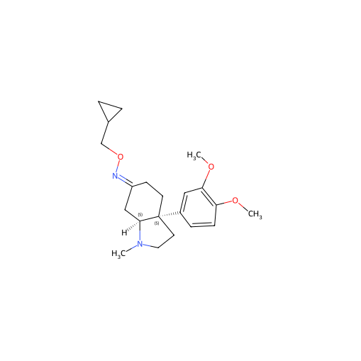 COc1ccc([C@@]23CCC(=NOCC4CC4)C[C@@H]2N(C)CC3)cc1OC